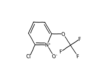 [O-][n+]1c(Cl)cccc1OC(F)(F)F